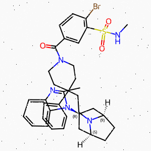 CNS(=O)(=O)c1cc(C(=O)N2CCC(CCN3[C@@H]4CC[C@H]3C[C@@H](n3c(C)nc5ccccc53)C4)(c3ccccc3)CC2)ccc1Br